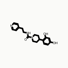 O=C(NCCc1ccncc1)N1CCC(c2ccc(O)cc2O)CC1